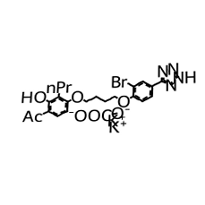 CCCc1c(OCCCCOc2ccc(-c3nn[nH]n3)cc2Br)ccc(C(C)=O)c1O.O=C([O-])[O-].[K+].[K+]